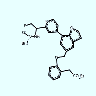 CCOC(=O)Cc1ccccc1OCc1cc(-c2ccnc(C(CF)N[S@@+]([O-])C(C)(C)C)c2)c2occc2c1